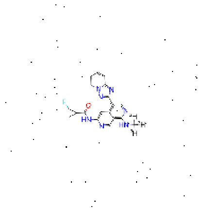 [2H]C([2H])([2H])Nc1ncc(-c2nc3ccccn3n2)c2cc(NC(=O)C3CC3F)ncc12